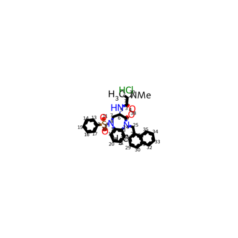 CN[C@@H](C)C(=O)N[C@H]1CN(S(=O)(=O)c2ccccc2)c2ccccc2N(Cc2c(C)ccc3ccccc23)C1=O.Cl